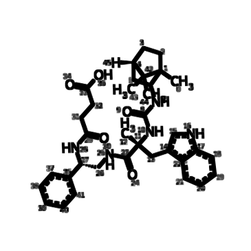 CC12CC[C@@H](CC1NC(=O)N[C@](C)(Cc1c[nH]c3ccccc13)C(=O)NC[C@@H](NC(=O)CCC(=O)O)c1ccccc1)C2(C)C